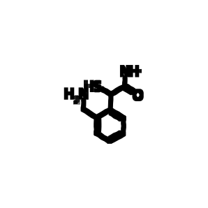 [NH]C(=O)C(S)c1ccccc1CN